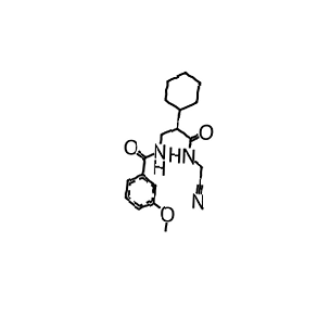 COc1cccc(C(=O)NCC(C(=O)NCC#N)C2CCCCC2)c1